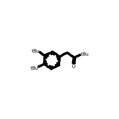 CC(C)(C)C(=O)Cc1ccc(C(C)(C)C)c(C(C)(C)C)c1